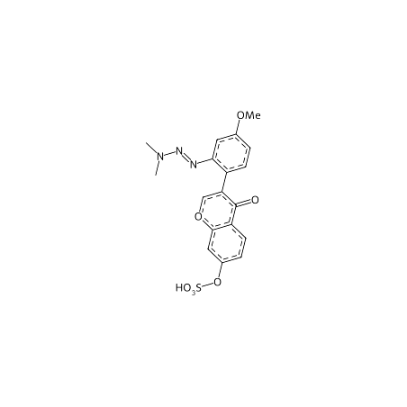 COc1ccc(-c2coc3cc(OS(=O)(=O)O)ccc3c2=O)c(N=NN(C)C)c1